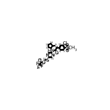 CS(=O)(=O)c1ccc([C@@H](CC2CCCC2)C(=O)Nc2cnc(SCOC(=O)C(F)(F)F)cn2)cc1Cl